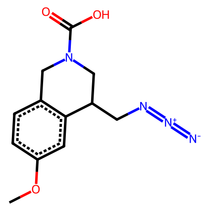 COc1ccc2c(c1)C(CN=[N+]=[N-])CN(C(=O)O)C2